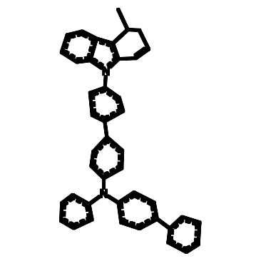 CC1CC=Cc2c1c1ccccc1n2-c1ccc(-c2ccc(N(c3ccccc3)c3ccc(-c4ccccc4)cc3)cc2)cc1